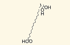 C=CC.CC(O)CO.CCCCCCCCCCCCCCCCCC(=O)O